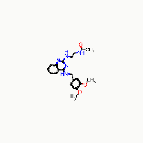 COc1ccc(CNc2nc(NCCNC(C)=O)nc3ccccc23)cc1OC